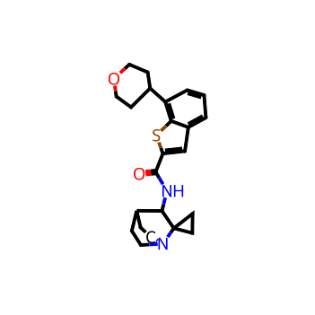 O=C(NC1C2CCN(CC2)C12CC2)c1cc2cccc(C3CCOCC3)c2s1